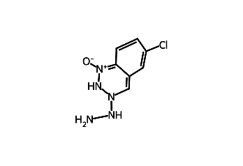 NNN1C=c2cc(Cl)ccc2=[N+]([O-])N1